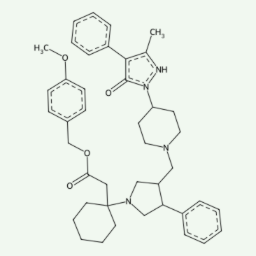 COc1ccc(COC(=O)CC2(N3CC(CN4CCC(n5[nH]c(C)c(-c6ccccc6)c5=O)CC4)C(c4ccccc4)C3)CCCCC2)cc1